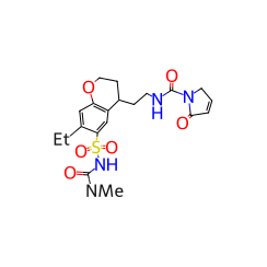 CCc1cc2c(cc1S(=O)(=O)NC(=O)NC)C(CCNC(=O)N1CC=CC1=O)CCO2